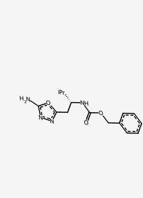 CC(C)[C@@H](Cc1nnc(N)o1)NC(=O)OCc1ccccc1